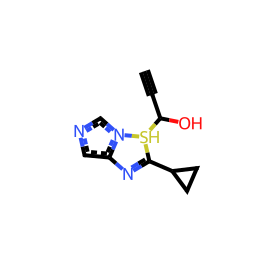 C#CC(O)[SH]1C(C2CC2)=Nc2cncn21